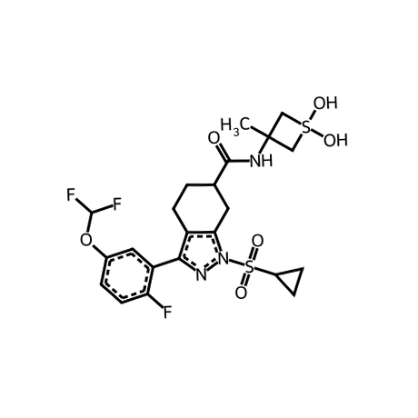 CC1(NC(=O)C2CCc3c(-c4cc(OC(F)F)ccc4F)nn(S(=O)(=O)C4CC4)c3C2)CS(O)(O)C1